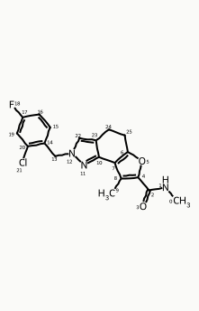 CNC(=O)c1oc2c(c1C)-c1nn(Cc3ccc(F)cc3Cl)cc1CC2